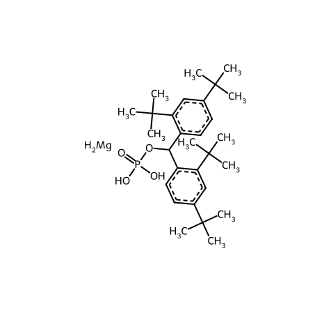 CC(C)(C)c1ccc(C(OP(=O)(O)O)c2ccc(C(C)(C)C)cc2C(C)(C)C)c(C(C)(C)C)c1.[MgH2]